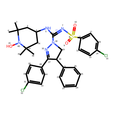 CC1(C)CC(N/C(=N/S(=O)(=O)c2ccc(Cl)cc2)N2CC(c3ccccc3)C(c3ccc(Cl)cc3)=N2)CC(C)(C)N1O